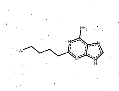 CCCCCc1nc(N)c2nc[nH]c2n1